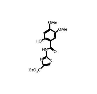 CCOC(=O)c1csc(NC(=O)c2cc(OC)c(OC)cc2O)n1